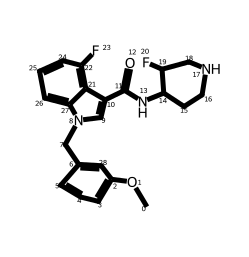 COc1cccc(Cn2cc(C(=O)NC3CCNCC3F)c3c(F)cccc32)c1